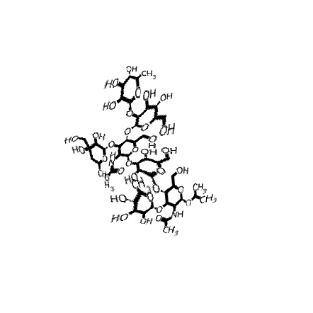 CC(=O)NC1C(O[C@@H]2OC(C)[C@@H](O)C(O)C2O)[C@H](O[C@@H]2OC(CO)[C@H](O)C(O[C@@H]3OC(CO)[C@@H](O[C@@H]4OC(CO)[C@H](O)C(O)C4O[C@@H]4OC(C)[C@@H](O)C(O)C4O)C(O[C@@H]4OC(C)CC(O)(CO)C4O)C3NC(C)=O)C2O)C(CO)O[C@H]1OC(C)C